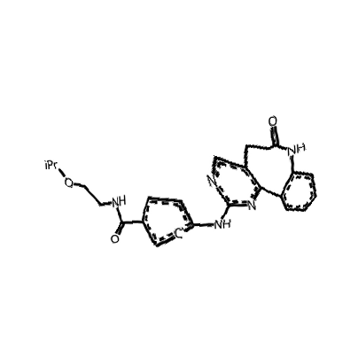 CC(C)OCCNC(=O)c1ccc(Nc2ncc3c(n2)-c2ccccc2NC(=O)C3)cc1